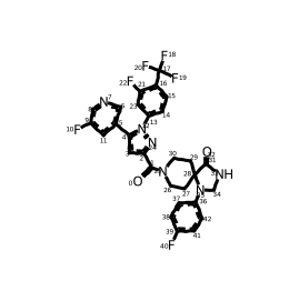 O=C(c1cc(-c2cncc(F)c2)n(-c2ccc(C(F)(F)F)c(F)c2)n1)N1CCC2(CC1)C(=O)NCN2c1ccc(F)cc1